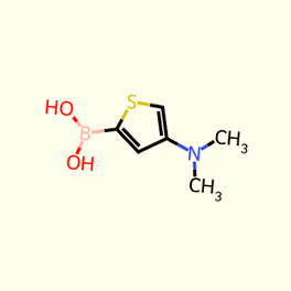 CN(C)c1csc(B(O)O)c1